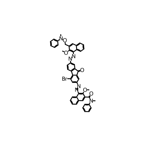 COc1c(CON(C)c2ccccc2)cc2ccccc2c1N=Nc1ccc2c(c1)C(=O)c1cc(N=Nc3c(OC)c(C(=O)N(C)c4ccccc4)cc4ccccc34)cc(Br)c1-2